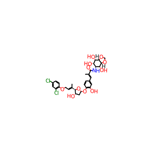 CC(=Cc1ccc(O[C@H]2C[C@H](O)[C@@H](C(C)=CCOc3ccc(Cl)cc3Cl)O2)c(O)c1)C(=O)N[C@@H]1[C@H](O)[C@@H](O)[C@H]2OCO[C@H]2[C@@H]1O